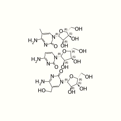 Cc1cn([C@@H]2O[C@H](CO)[C@@H](O)[C@H]2O)c(=O)nc1N.Nc1ccn([C@@H]2O[C@H](CO)[C@@H](O)[C@H]2O)c(=O)n1.Nc1nc(=O)n([C@@H]2O[C@H](CO)[C@@H](O)[C@H]2O)cc1CO